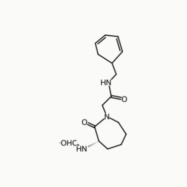 O=[C]N[C@H]1CCCCN(CC(=O)NCC2C=CC=CC2)C1=O